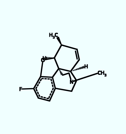 C[C@H]1C=C[C@H]2C3Cc4ccc(F)c5c4[C@@]2(CCN3C)[C@H]1O5